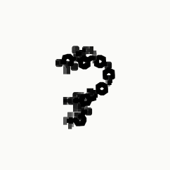 Cn1c(=O)n(C2CCC(=O)NC2=O)c2cccc(CN3CCC(OC4CCN(C[C@H]5CC[C@H](n6cc7cc(NC(=O)c8cccc(C(F)(F)F)n8)c(C(C)(C)O)cc7n6)CC5)CC4)CC3)c21